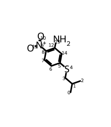 CC(C)CSc1ccc([N+](=O)[O-])c(N)c1